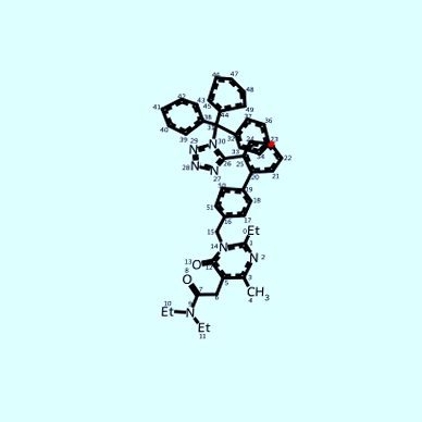 CCc1nc(C)c(CC(=O)N(CC)CC)c(=O)n1Cc1ccc(-c2ccccc2-c2nnnn2C(c2ccccc2)(c2ccccc2)c2ccccc2)cc1